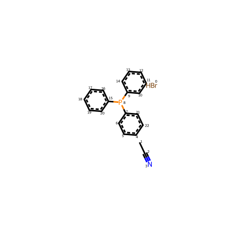 Br.CC#N.c1ccc(P(c2ccccc2)c2ccccc2)cc1